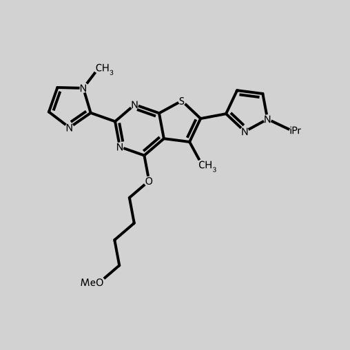 COCCCCOc1nc(-c2nccn2C)nc2sc(-c3ccn(C(C)C)n3)c(C)c12